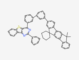 CC1(C)c2ccccc2-c2cc3c(cc21)-c1ccc(-c2cccc(-c4cccc(-c5nc(-c6ccccc6)nc6c5sc5ccccc56)c4)c2)cc1C31CCCCC1